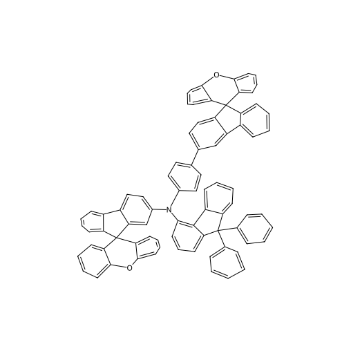 c1ccc(C2(c3ccccc3)c3ccccc3-c3c(N(c4ccc(-c5ccc6c(c5)-c5ccccc5C65c6ccccc6Oc6ccccc65)cc4)c4ccc5c(c4)C4(c6ccccc6Oc6ccccc64)c4ccccc4-5)cccc32)cc1